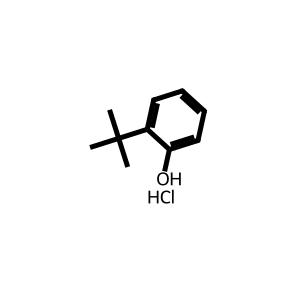 CC(C)(C)c1ccccc1O.Cl